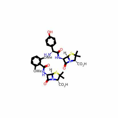 CC1(C)S[C@@H]2[C@H](NC(=O)[C@H](N)c3ccc(O)cc3)C(=O)N2[C@H]1C(=O)O.COc1cccc(OC)c1C(=O)N[C@@H]1C(=O)N2[C@@H]1SC(C)(C)[C@@H]2C(=O)O